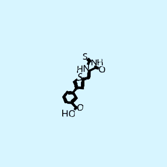 O=C1NC(=S)N/C1=C\c1cc(-c2cccc(C(=O)O)c2)cs1